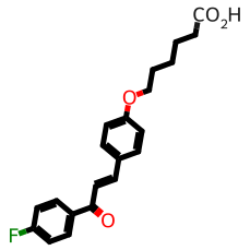 O=C(O)CCCCCOc1ccc(C=CC(=O)c2ccc(F)cc2)cc1